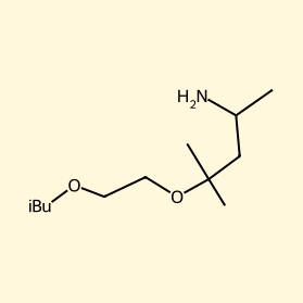 CCC(C)OCCOC(C)(C)CC(C)N